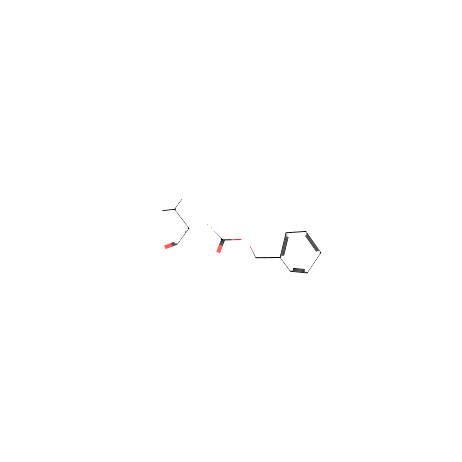 CC(C)[C@@H](C=O)[N]C(=O)OCc1ccccc1